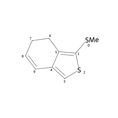 CSc1scc2c1CCC=C2